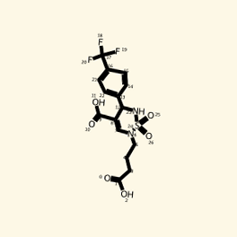 O=C(O)CCCN1C=C(C(=O)O)C(c2ccc(C(F)(F)F)cc2)NS1(=O)=O